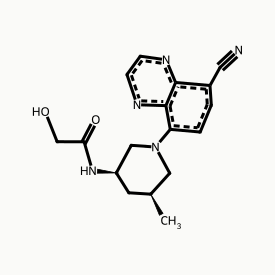 C[C@H]1C[C@@H](NC(=O)CO)CN(c2ccc(C#N)c3nccnc23)C1